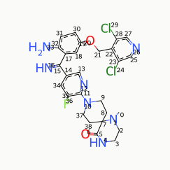 CN1CCNC(=O)C12CCN(c1ncc(C(=N)c3cc(OCc4c(Cl)cncc4Cl)ccc3N)cc1F)CC2